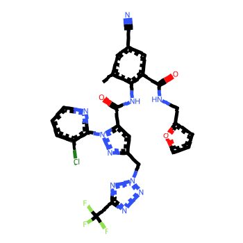 Cc1cc(C#N)cc(C(=O)NCc2ccco2)c1NC(=O)c1cc(Cn2nnc(C(F)(F)F)n2)nn1-c1ncccc1Cl